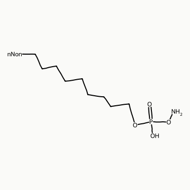 CCCCCCCCCCCCCCCCCCOP(=O)(O)ON